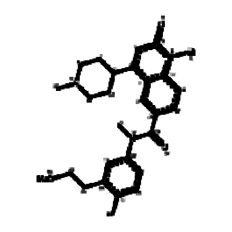 CCn1c(=O)cc(C2CCN(C)CC2)c2cc(C(=O)N(C)c3ccc(C)c(CCOC)c3)ccc21